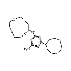 Nc1nc(NC2CCCCCCCCCC2)nc(C2CCCCCCCC2)n1